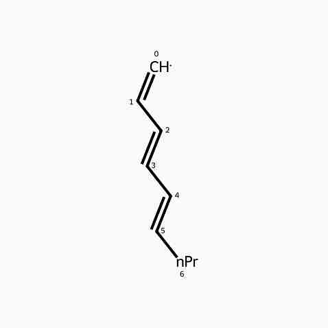 [CH]=CC=CC=CCC[CH2]